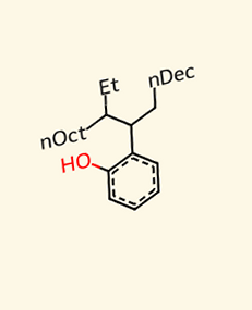 CCCCCCCCCCCC(c1ccccc1O)C(CC)CCCCCCCC